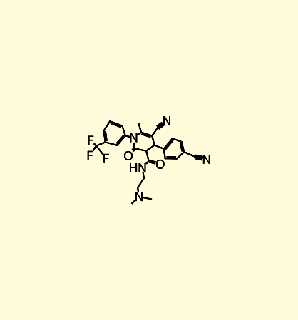 CC1=C(C#N)C(c2ccc(C#N)cc2)C(C(=O)NCCN(C)C)C(=O)N1c1cccc(C(F)(F)F)c1